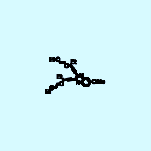 CCOCCO[C@H](C#Cc1nc2ccc(OC)cc2nc1C#C[C@H](CC)OCCOCC)CC